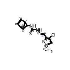 Cn1cc(Cl)c(/C=N/NC(=S)NC2CC3C=CC2C3)n1